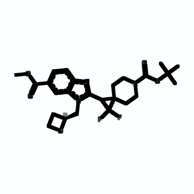 COC(=O)c1ccc2nc(C3C(F)(F)C34CCN(C(=O)OC(C)(C)C)CC4)n(C[C@@H]3CCO3)c2c1